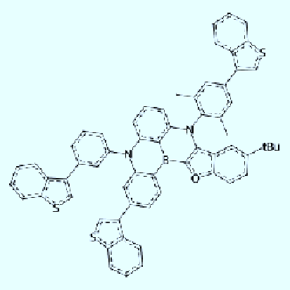 Cc1cc(-c2csc3ccccc23)cc(C)c1N1c2cccc3c2B(c2ccc(-c4csc5ccccc45)cc2N3c2cccc(-c3csc4ccccc34)c2)c2oc3ccc(C(C)(C)C)cc3c21